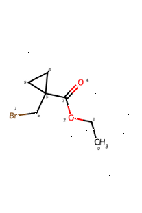 CCOC(=O)C1(CBr)CC1